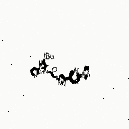 CC(C)(C)c1cc(NC(=O)Cn2cc(-c3ccc(-n4ccnc4)nc3)nn2)n(-c2cccnc2)n1